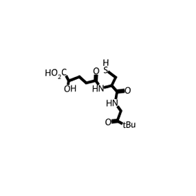 CC(C)(C)C(=O)CNC(=O)C(CS)NC(=O)CCC(O)C(=O)O